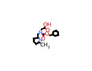 Cc1cccc(CN(CC(=O)O)C(=O)OCc2ccccc2)n1